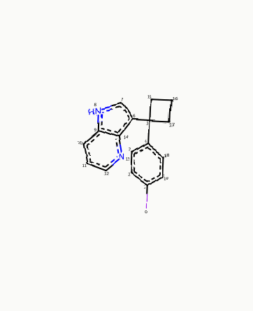 Ic1ccc(C2(c3c[nH]c4cccnc34)CCC2)cc1